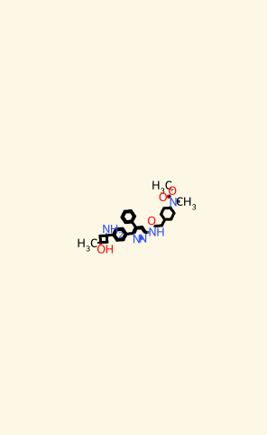 COC(=O)N(C)C1CCC(CC(=O)Nc2cc(-c3ccccc3)c(-c3ccc([C@]4(N)C[C@](C)(O)C4)cc3)nn2)CC1